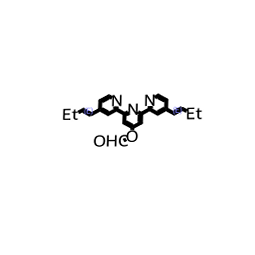 CC/C=C/c1ccnc(-c2cc(OC=O)cc(-c3cc(/C=C/CC)ccn3)n2)c1